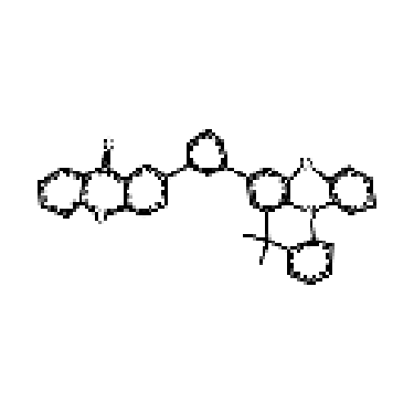 CC1(C)c2ccccc2N2c3ccccc3Oc3cc(-c4cccc(-c5ccc6oc7ccccc7c(=O)c6c5)c4)cc1c32